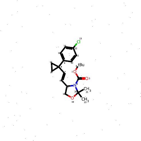 CC(C)(C)OC(=O)N1C(C=CC2(c3ccc(Cl)cc3)CC2)COC1(C)C